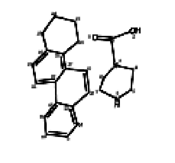 O=C(O)N1CCNCC1.c1ccc2c(c1)ccc1c3c(ccc12)CCCC3